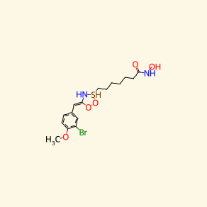 COc1ccc(/C=C2/N[SH](CCCCCCC(=O)NO)OO2)cc1Br